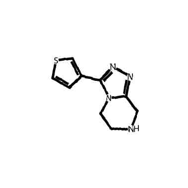 c1cc(-c2nnc3n2CCNC3)cs1